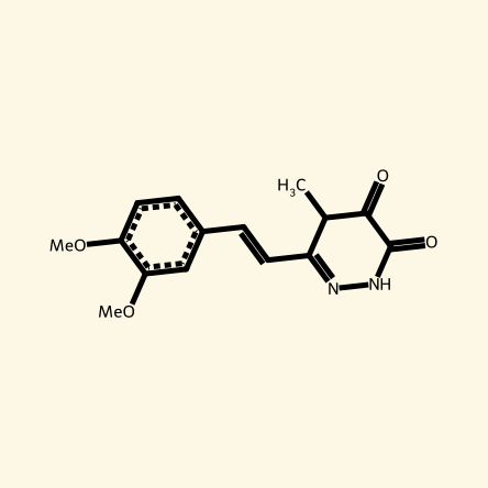 COc1ccc(C=CC2=NNC(=O)C(=O)C2C)cc1OC